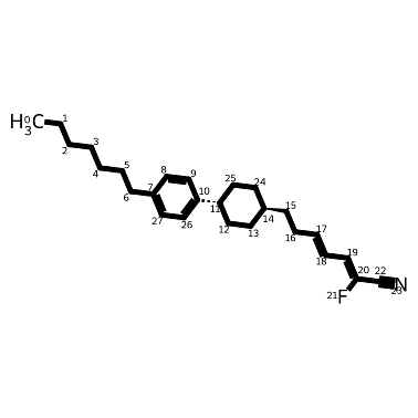 CCCCCCCc1ccc([C@H]2CC[C@H](CC/C=C/C=C(\F)C#N)CC2)cc1